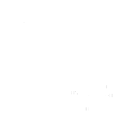 CC(=O)C1=CC=c2ccc3c(c2C1)CC=CC=3CNC(C)(CO)CO